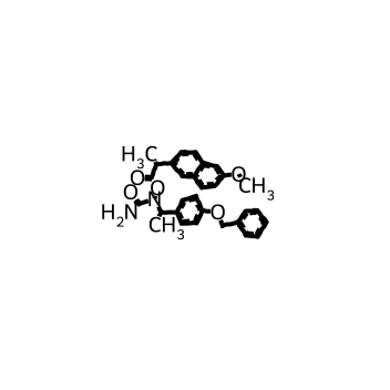 COc1ccc2cc(C(C)C(=O)ON(C(N)=O)C(C)c3ccc(OCc4ccccc4)cc3)ccc2c1